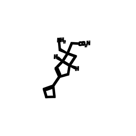 NC[C@@]1(CC(=O)O)C[C@@H]2CC(C3=CCC3)=C[C@@H]21